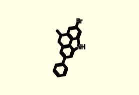 CC1Cc2cc(-c3ccccc3)cc3[nH]c4cc(Br)cc1c4c23